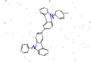 Cc1ccc(-n2c3ccccc3c3cc(-c4ccc5c(c4)c4ccccc4n5-c4ccccc4)ccc32)cc1